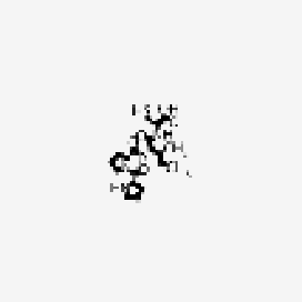 CC[C@H](C)[C@H](NC(=O)[C@@H]1CCCN1C(=O)[C@@H]1CCCN1)C(=O)N[C@@H](CS)C(=O)O